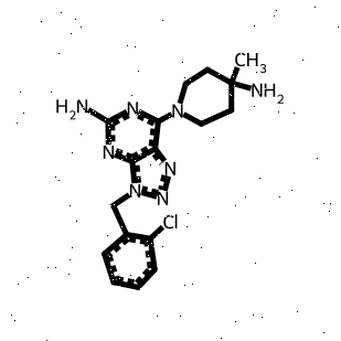 CC1(N)CCN(c2nc(N)nc3c2nnn3Cc2ccccc2Cl)CC1